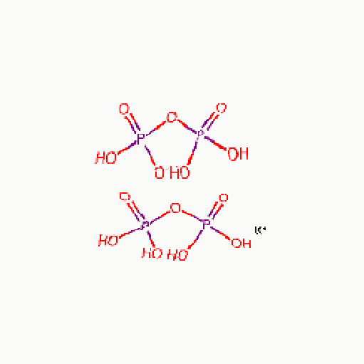 O=P(O)(O)OP(=O)(O)O.O=P([O-])(O)OP(=O)(O)O.[K+]